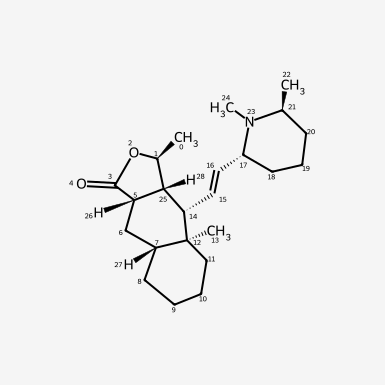 C[C@@H]1OC(=O)[C@H]2C[C@H]3CCCC[C@]3(C)[C@@H](/C=C/[C@H]3CCC[C@H](C)N3C)[C@@H]12